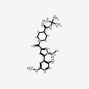 COc1cc(-c2cc(C(=O)N3CCC(C(=O)OC(C)(C)C)CC3)nn2PI)c(Cl)cn1